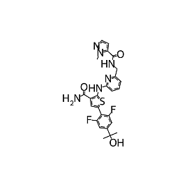 Cn1nccc1C(=O)NCc1cccc(Nc2sc(-c3c(F)cc(C(C)(C)O)cc3F)cc2C(N)=O)n1